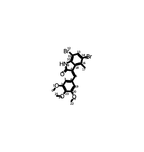 COc1cc(C=C2C(=O)Nc3c(Br)cc(Br)c(C)c32)cc(OC)c1OC